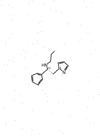 [CH2]CCN[C@H](Cn1cccn1)c1ccccc1